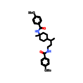 COc1ccc(C(=O)NCCC(C)C2CCC(C)(NC(=O)c3ccc(OC)cc3)CC2)cc1